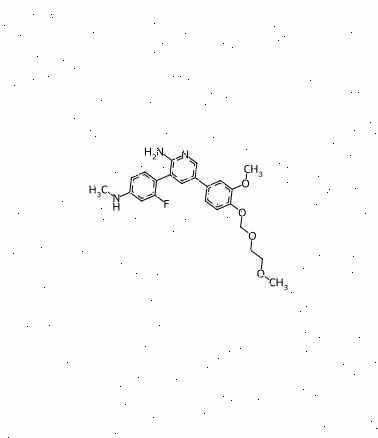 CNc1ccc(-c2cc(-c3ccc(OCOCCOC)c(OC)c3)cnc2N)c(F)c1